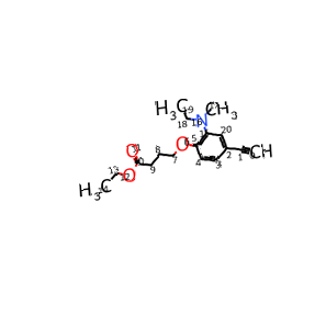 C#Cc1ccc(OCCCC(=O)OCC)c(N(C)CC)c1